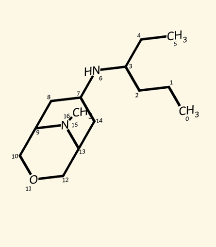 CCCC(CC)NC1CC2COCC(C1)N2C